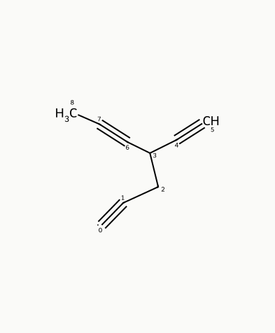 [C]#CCC(C#C)C#CC